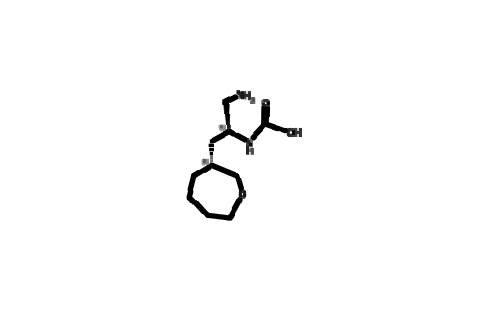 NC[C@H](C[C@H]1CCCCOC1)NC(=O)O